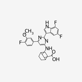 COc1cc(-c2cc(NC3C4CCC(CC4)C3C(=O)O)nc(-c3c[nH]c4c(F)cc(F)cc34)n2)ccc1F